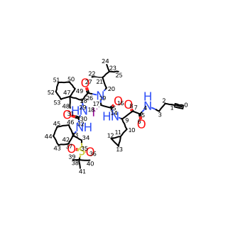 C#CCCNC(=O)C(=O)C(CC1CC1)NC(=O)[C@H](I)N(C[C@@H](C)C(C)C)C(=O)[C@@H](NC(=O)NC1(CS(=O)(=O)C(C)(C)C)CCCCC1)C1(C)CCCCC1